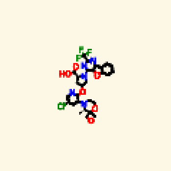 C[C@@H]1N(c2cc(Cl)cnc2O[C@H]2C[C@@H](C(=O)O)N(c3nc(C(F)(F)F)nc4c3oc3ccccc34)C2)CCOC12COC2